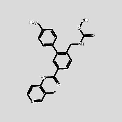 CC(C)(C)OC(=O)NCc1ccc(C(=O)Nc2ccncc2F)cc1-c1ccc(C(=O)O)cc1